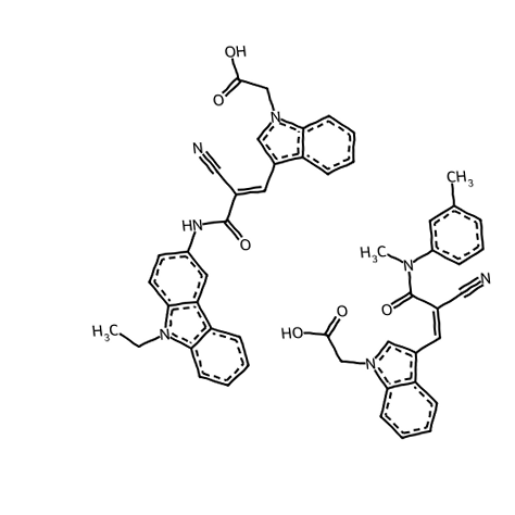 CCn1c2ccccc2c2cc(NC(=O)C(C#N)=Cc3cn(CC(=O)O)c4ccccc34)ccc21.Cc1cccc(N(C)C(=O)C(C#N)=Cc2cn(CC(=O)O)c3ccccc23)c1